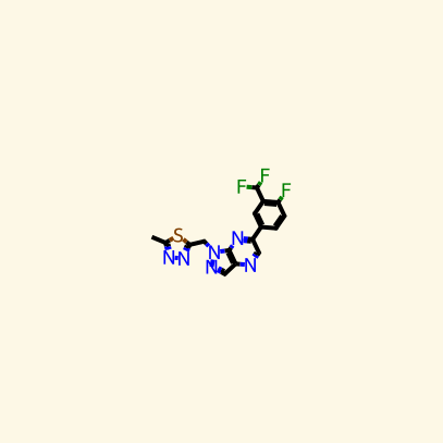 Cc1nnc(Cn2ncc3ncc(-c4ccc(F)c(C(F)F)c4)nc32)s1